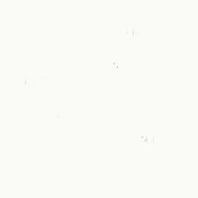 CC(C)COC(=O)c1cn(C)c2c1-c1cc(I)ccc1NCOC2